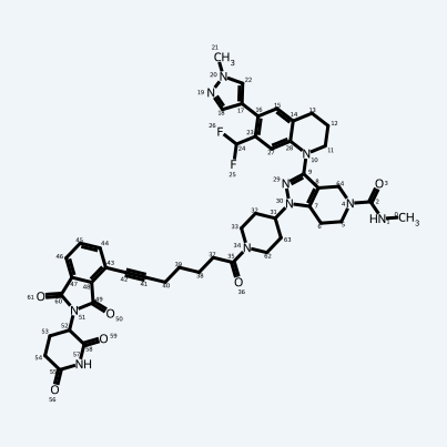 CNC(=O)N1CCc2c(c(N3CCCc4cc(-c5cnn(C)c5)c(C(F)F)cc43)nn2C2CCN(C(=O)CCCCC#Cc3cccc4c3C(=O)N(C3CCC(=O)NC3=O)C4=O)CC2)C1